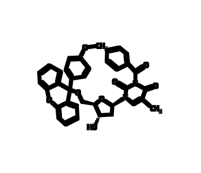 COc1ccc(C2(OC[C@H]3O[C@@H](n4cc(C)c(=O)n(C(=O)c5ccccc5)c4=O)C[C@@H]3O)c3ccccc3Oc3ccccc32)cc1